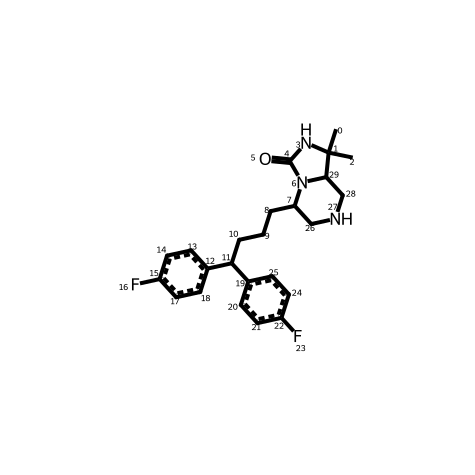 CC1(C)NC(=O)N2C(CCCC(c3ccc(F)cc3)c3ccc(F)cc3)CNCC21